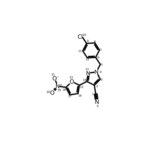 N#Cc1cn(Cc2ccc(Cl)cc2)nc1-c1ccc([N+](=O)[O-])o1